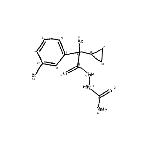 CNC(=S)NNC(=O)C(C(C)=O)(c1cccc(Br)c1)C1CC1